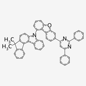 CC1(C)c2ccccc2-c2c1ccc1c2c2ccccc2n1-c1cccc2oc3cc(-c4cc(-c5ccccc5)nc(-c5ccccc5)n4)ccc3c12